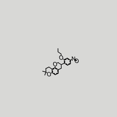 CCCOc1cc(N=O)ccc1C1COc2c(ccc3c2CCC(C)(C)O3)C1